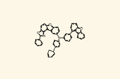 C1=CCC(c2ccc(N(c3cccc(-c4cccc5oc6ccccc6c45)c3)c3ccc4oc5ccc6oc(-c7ccccc7)nc6c5c4c3)cc2)C=C1